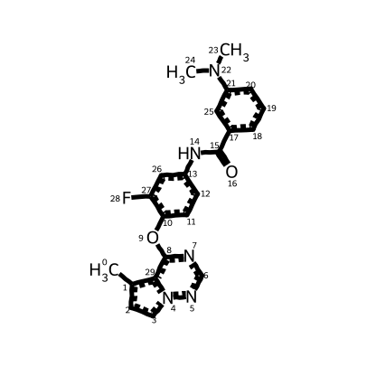 Cc1ccn2ncnc(Oc3ccc(NC(=O)c4cccc(N(C)C)c4)cc3F)c12